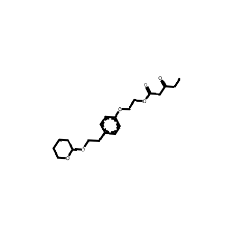 CCC(=O)CC(=O)OCCOc1ccc(CCOC2CCCCO2)cc1